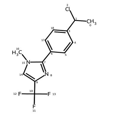 CC(Cl)c1ccc(-c2nc(C(F)(F)F)cn2C)cc1